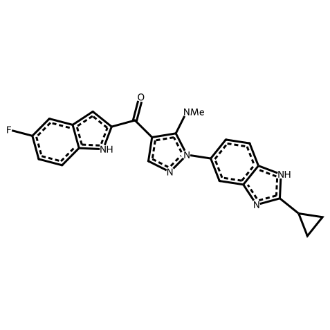 CNc1c(C(=O)c2cc3cc(F)ccc3[nH]2)cnn1-c1ccc2[nH]c(C3CC3)nc2c1